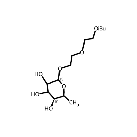 CC(C)COCCOCCO[C@H]1OC(C)[C@@H](O)C(O)C1O